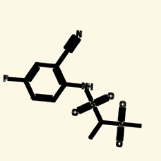 CC(S(C)(=O)=O)S(=O)(=O)Nc1c[c]c(F)cc1C#N